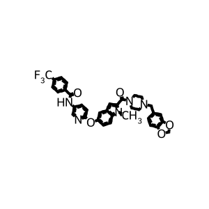 Cn1c(C(=O)N2CCN(Cc3ccc4c(c3)OCO4)CC2)cc2cc(Oc3ccc(NC(=O)c4ccc(C(F)(F)F)cc4)cn3)ccc21